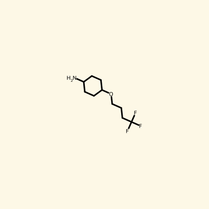 NC1CCC(OCCCC(F)(F)F)CC1